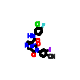 N#Cc1ccc(N2C(=O)C3C[N@]4CC(C(=O)Nc5ccc(F)c(Cl)c5)[N+]3(C4)C2=O)cc1I